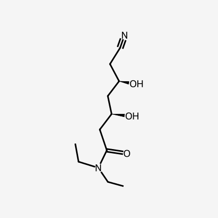 CCN(CC)C(=O)C[C@H](O)C[C@H](O)CC#N